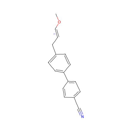 CO/C=C/Cc1ccc(-c2ccc(C#N)cc2)cc1